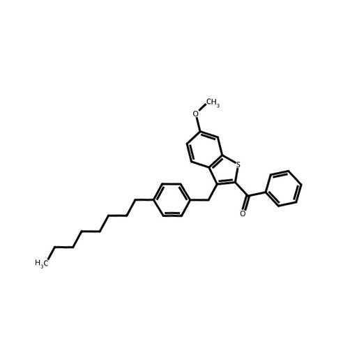 CCCCCCCCc1ccc(Cc2c(C(=O)c3ccccc3)sc3cc(OC)ccc23)cc1